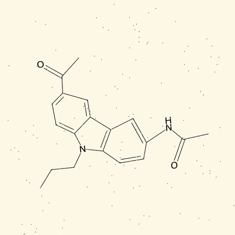 CCCn1c2ccc(NC(C)=O)cc2c2cc(C(C)=O)ccc21